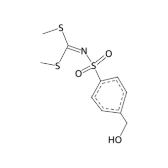 CSC(=NS(=O)(=O)c1ccc(CO)cc1)SC